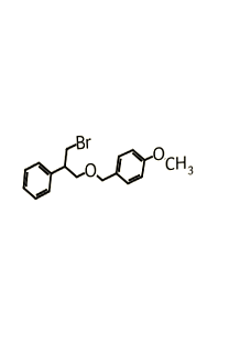 COc1ccc(COCC(CBr)c2ccccc2)cc1